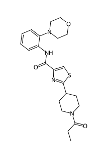 CCC(=O)N1CCC(c2nc(C(=O)Nc3ccccc3N3CCOCC3)cs2)CC1